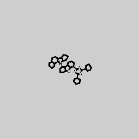 c1ccc(-c2nc(-c3ccccc3)nc(-c3cccc4c3oc3cccc(-n5c6ccccc6c6ccc7ccccc7c65)c34)n2)cc1